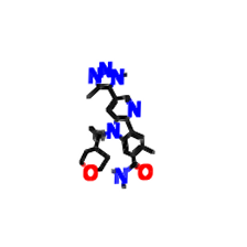 Cc1cc2c3ncc(-c4c(C)nnn4C)cc3n([C@H](C)C3CCOCC3)c2cc1C(=O)N(C)C